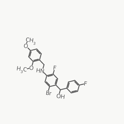 COc1ccc(CNc2cc(Br)c(C(O)c3ccc(F)cc3)cc2F)c(OC)c1